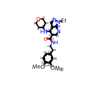 CCn1ncc2c(NC3CCOCC3)c(C(=O)NCCc3ccc(OC)c(OC)c3)cnc21